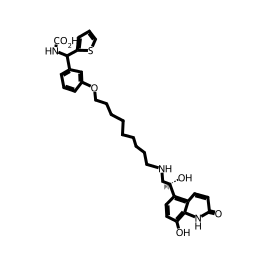 O=C(O)NC(c1cccc(OCCCCCCCCCNC[C@H](O)c2ccc(O)c3[nH]c(=O)ccc23)c1)c1cccs1